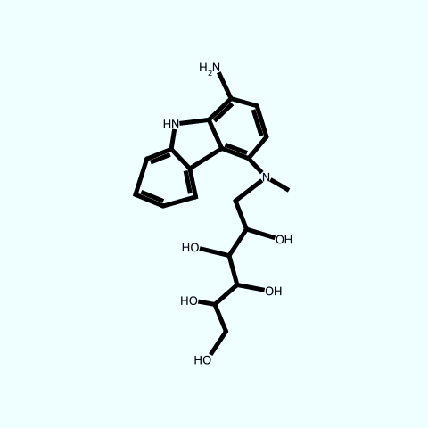 CN(CC(O)C(O)C(O)C(O)CO)c1ccc(N)c2[nH]c3ccccc3c12